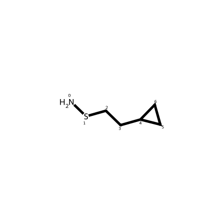 NSCCC1CC1